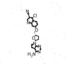 N#Cc1cnc2cc(OC[C@@H]3CC[C@H](n4ccc5c(N)ncnc54)O3)ccc2c1Cl